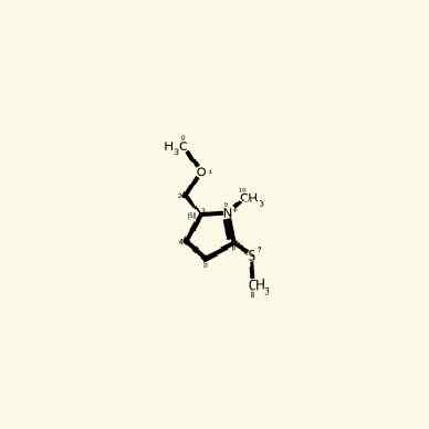 COC[C@@H]1CCC(SC)=[N+]1C